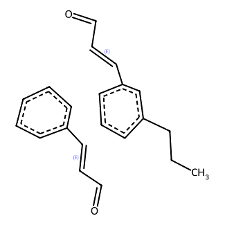 CCCc1cccc(/C=C/C=O)c1.O=C/C=C/c1ccccc1